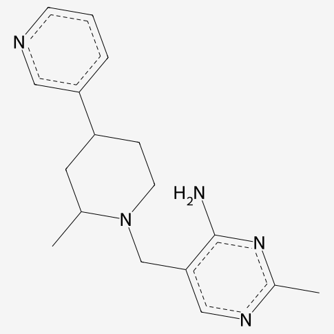 Cc1ncc(CN2CCC(c3cccnc3)CC2C)c(N)n1